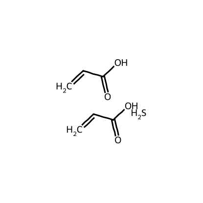 C=CC(=O)O.C=CC(=O)O.S